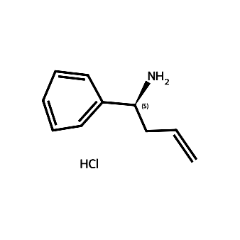 C=CC[C@H](N)c1ccccc1.Cl